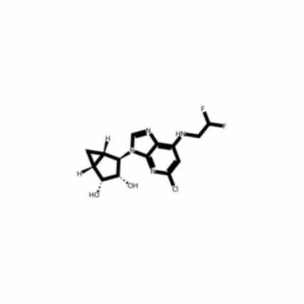 O[C@@H]1[C@H](O)[C@@H]2C[C@@H]2[C@H]1n1cnc2c(NCC(F)F)cc(Cl)nc21